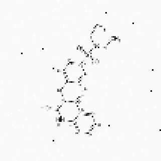 CCN(CC)S(=O)(=O)c1ccc(Cn2c(=O)[nH]c3ccccc3c2=O)cc1